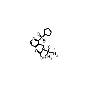 CC(C)(C)N(Cc1cccnc1S(=O)(=O)C1CCCC1)C(=O)O